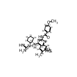 COc1ccc(C(=O)Nc2nc(N[C@H]3CCCC[C@H]3NC(=N)N)c3cc(C)ccc3n2)cc1.Cl.Cl